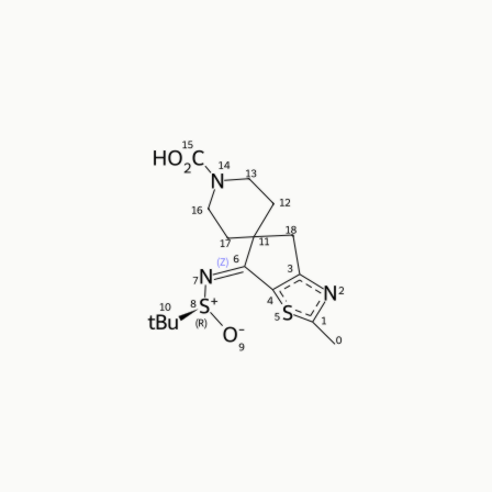 Cc1nc2c(s1)/C(=N\[S@@+]([O-])C(C)(C)C)C1(CCN(C(=O)O)CC1)C2